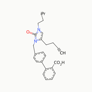 C#CCCc1cn(CCC(C)C)c(=O)n1Cc1ccc(-c2ccccc2C(=O)O)cc1